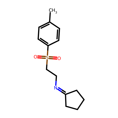 Cc1ccc(S(=O)(=O)CCN=C2CCCC2)cc1